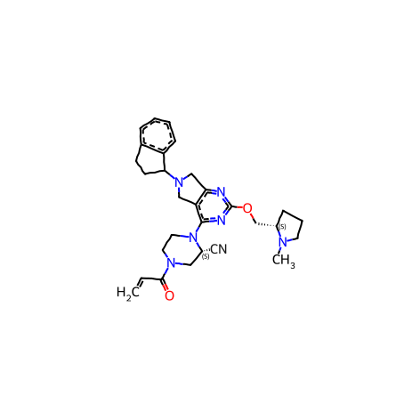 C=CC(=O)N1CCN(c2nc(OC[C@@H]3CCCN3C)nc3c2CN(C2CCc4ccccc42)C3)[C@H](C#N)C1